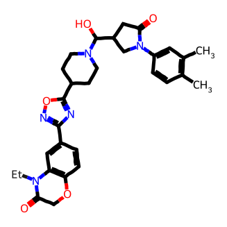 CCN1C(=O)COc2ccc(-c3noc(C4CCN(C(O)C5CC(=O)N(c6ccc(C)c(C)c6)C5)CC4)n3)cc21